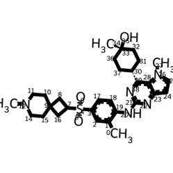 Cc1cc(S(=O)(=O)C2CC3(CCN(C)CC3)C2)ccc1Nc1nc2ccn(C)c2c([C@H]2CC[C@@](C)(O)CC2)n1